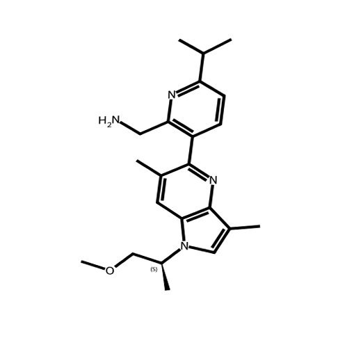 COC[C@H](C)n1cc(C)c2nc(-c3ccc(C(C)C)nc3CN)c(C)cc21